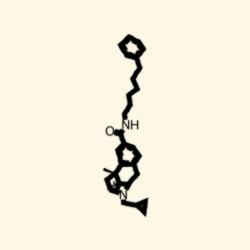 C[C@H]1C2Cc3ccc(C(=O)NCCCCCCc4ccccc4)cc3[C@@]1(C)CCN2CC1CC1